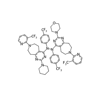 FC(F)(F)c1ccc(N(c2nc(N3CCCCC3)nc3c2CCN(c2ncccc2C(F)(F)F)CC3)N(c2ccc(C(F)(F)F)cc2)c2nc(N3CCOCC3)nc3c2CCN(c2ncccc2C(F)(F)F)CC3)cc1